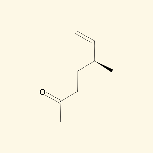 C=C[C@@H](C)CCC(C)=O